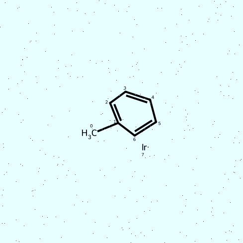 Cc1ccccc1.[Ir]